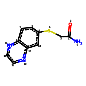 NC(=O)CSc1ccc2nccnc2c1